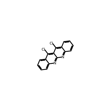 Clc1c2ccccc2nc2nc3ccccc3c(Cl)c12